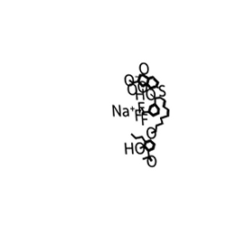 CCCc1c(OCCCC/C=C\C=C\[C@H](Sc2ccc3c(=O)cc(C(=O)[O-])oc3c2)[C@H](O)c2cccc(C(F)(F)F)c2)ccc(C(C)=O)c1O.[Na+]